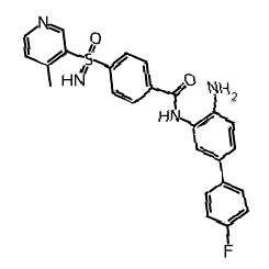 Cc1ccncc1S(=N)(=O)c1ccc(C(=O)Nc2cc(-c3ccc(F)cc3)ccc2N)cc1